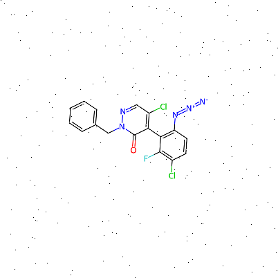 [N-]=[N+]=Nc1ccc(Cl)c(F)c1-c1c(Cl)cnn(Cc2ccccc2)c1=O